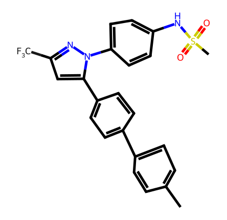 Cc1ccc(-c2ccc(-c3cc(C(F)(F)F)nn3-c3ccc(NS(C)(=O)=O)cc3)cc2)cc1